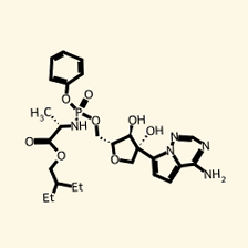 CCC(CC)COC(=O)[C@H](C)N[P@](=O)(OC[C@H]1OC[C@](O)(c2ccc3c(N)ncnn23)[C@@H]1O)Oc1ccccc1